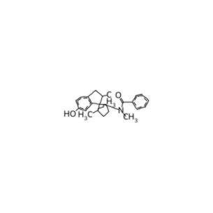 CC1Cc2ccc(O)cc2C12C1CCC2(C)CCC1N(C)C(=O)c1ccccc1